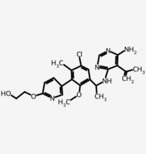 C=C(C)c1c(N)ncnc1NC(C)c1cc(Cl)c(C)c(-c2ccc(OCCO)nc2)c1OC